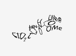 CCOC(=O)c1ccc(NC(=O)NCC2CC(OC)OC2OC)cc1